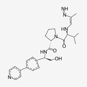 C/C(=C/N[C@H](C(=O)N1CCC[C@H]1C(=O)N[C@@H](CO)c1ccc(-c2ccncc2)cc1)C(C)C)N=N